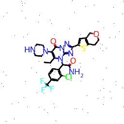 CCc1c(N2CCNCC2)c(=O)n2nc(-c3cc4c(s3)CCOC4)nc2n1C(C(N)=O)c1ccc(C(F)(F)F)cc1Cl